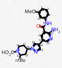 COc1cccc(NC(=O)c2cc(-c3cnn(C4CCN(C(=O)O)C(C(C)(C)C)C4)c3)cnc2N)c1